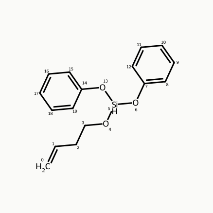 C=CCCO[SiH](Oc1ccccc1)Oc1ccccc1